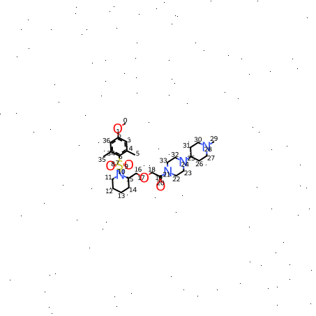 COc1cc(C)c(S(=O)(=O)N2CCCCC2COCC(=O)N2CCN(C3CCN(C)CC3)CC2)c(C)c1